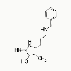 CC1C(CCCNCc2ccccc2)NC(=N)C1O